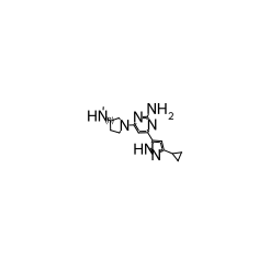 CN[C@@H]1CCN(c2cc(-c3cc(C4CC4)n[nH]3)nc(N)n2)C1